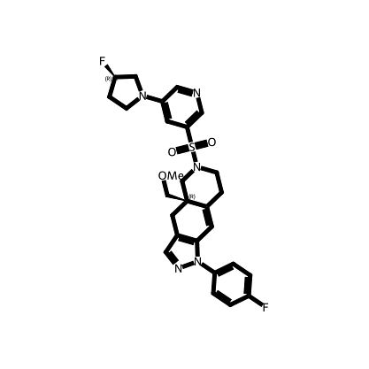 COC[C@]12Cc3cnn(-c4ccc(F)cc4)c3C=C1CCN(S(=O)(=O)c1cncc(N3CC[C@@H](F)C3)c1)C2